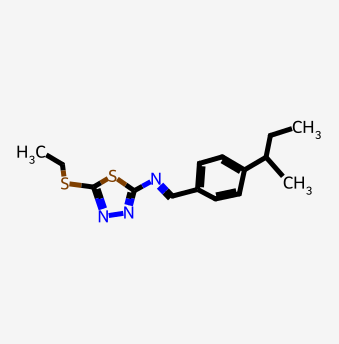 CCSc1nnc(/N=C/c2ccc(C(C)CC)cc2)s1